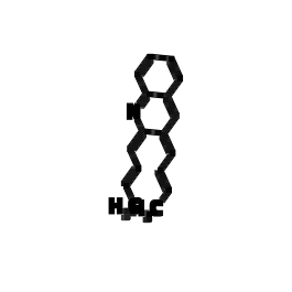 C/C=C/C=c1/cc2ccccc2n/c1=C/C=C/C